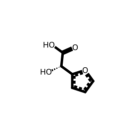 O=C(O)[C@@H](O)c1ccco1